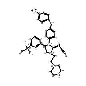 Cc1ccc(Oc2ccc(N3/C(=N/C#N)N(CCN4CCOCC4)CC3c3cccc(C(F)(F)F)c3)cc2)cc1